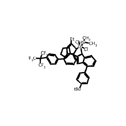 CCC1=Cc2c(-c3ccc(C(C(F)(F)F)(C(F)(F)F)C(F)(F)F)cc3)cccc2[CH]1[Zr]([Cl])([Cl])([CH]1C(C2CCCC2)=Cc2c(-c3ccc(C(C)(C)C)cc3)cccc21)[SiH](C)C